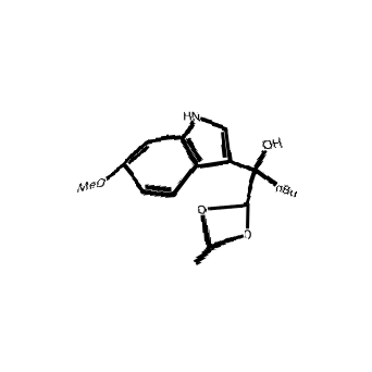 CCCCC(O)(c1c[nH]c2cc(OC)ccc12)C1OC(C)O1